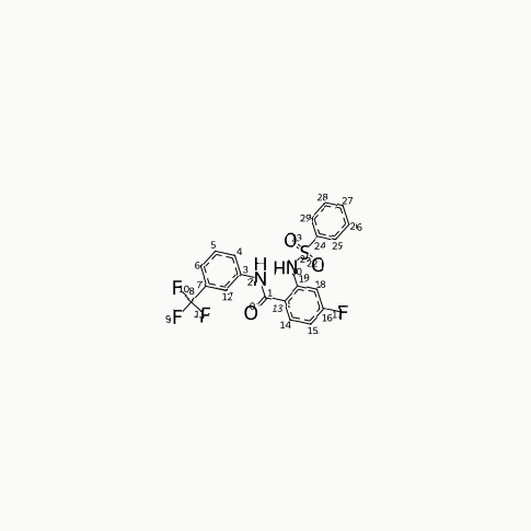 O=C(Nc1cccc(C(F)(F)F)c1)c1ccc(F)cc1NS(=O)(=O)c1ccccc1